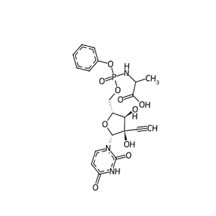 C#C[C@@]1(O)[C@H](O)[C@@H](COP(=O)(NC(C)C(=O)O)Oc2ccccc2)O[C@H]1n1ccc(=O)[nH]c1=O